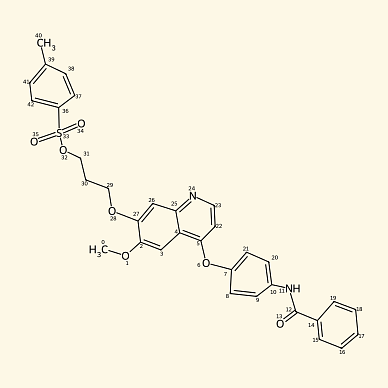 COc1cc2c(Oc3ccc(NC(=O)c4ccccc4)cc3)ccnc2cc1OCCCOS(=O)(=O)c1ccc(C)cc1